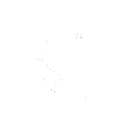 Cc1cnccc1C(=O)N1CCC[C@H](C2=CN(c3ccc(F)cc3)NO2)C1